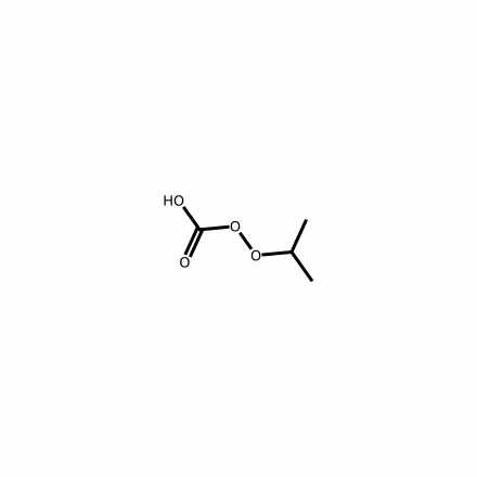 CC(C)OOC(=O)O